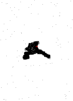 CCOC(=O)[C@H]1Cc2cc(ccc2OCc2ccnc(-c3ccccc3OC)n2)OC[C@@H](CN2CCN(CCOCCOCCOC)CC2)Oc2ccc(c(C)c2Cl)-c2c(-c3ccc(F)cc3)sc3ncnc(c23)O1